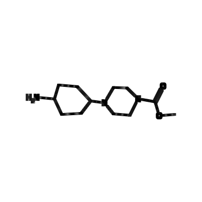 COC(=O)N1CCN(C2CCC(N)CC2)CC1